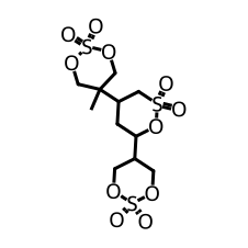 CC1(C2CC(C3COS(=O)(=O)OC3)OS(=O)(=O)C2)COS(=O)(=O)OC1